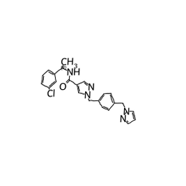 C[C@@H](NC(=O)c1cnn(Cc2ccc(Cn3cccn3)cc2)c1)c1cccc(Cl)c1